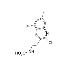 O=C(O)NCCc1cc2c(F)cc(F)cc2nc1Cl